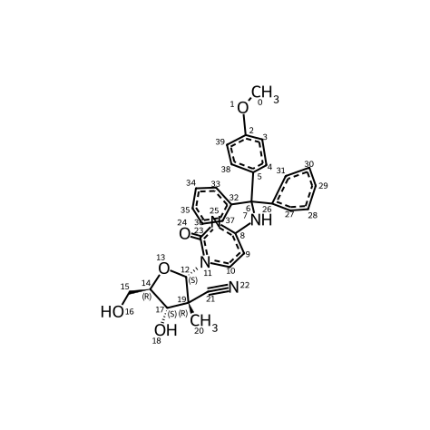 COc1ccc(C(Nc2ccn([C@H]3O[C@H](CO)[C@@H](O)[C@@]3(C)C#N)c(=O)n2)(c2ccccc2)c2ccccc2)cc1